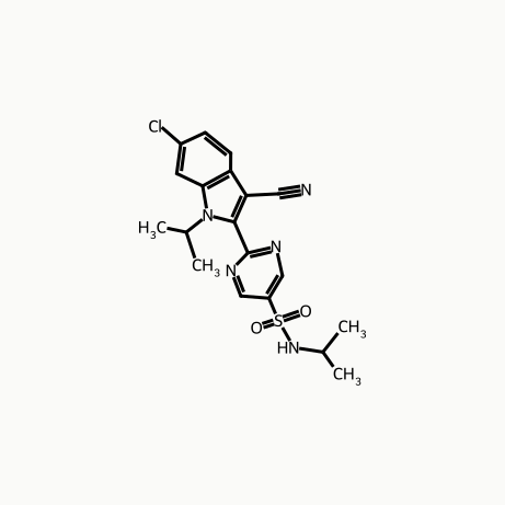 CC(C)NS(=O)(=O)c1cnc(-c2c(C#N)c3ccc(Cl)cc3n2C(C)C)nc1